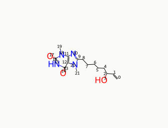 C=CC(O)CCCCCc1nc2c(c(=O)[nH]c(=O)n2C)n1C